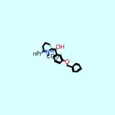 CCC[C@H]1CCC[C@H]([C@H](O)c2cccc(OCc3ccccc3)c2)N1C(=O)O